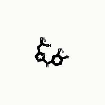 C=C(O)Cc1csc(Nc2ccc(Br)c(C(F)(F)F)c2)n1